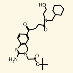 CC(C)(C)OC(=O)CN1Cc2cc(C(=O)CCC(=O)N(CCO)CC3CCCCC3)ccc2N=C1N